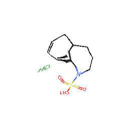 Cl.O=S(=O)(O)N1CCCC2CC=CC=C21